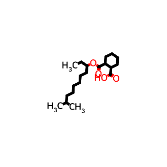 CCC(CCCCCCC(C)C)OC(=O)C1CCCCC1C(=O)O